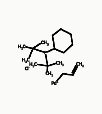 C=C[CH2][Pd+].CC(C)(C)P(C1CCCCC1)C(C)(C)C.[Cl-]